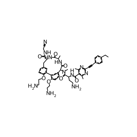 CCc1ccc(C#Cc2nc(C)c(C(=O)NC(CCN)C(=O)N(C)C3C(=O)NC(C)C(=O)NC(C(=O)NCC#N)Cc4ccc(OCCN)c(c4)-c4cc3ccc4OCCN)c(C)n2)cc1